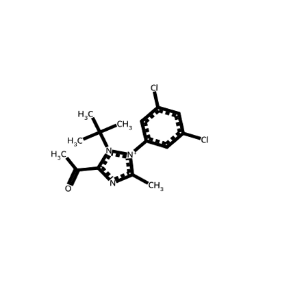 CC(=O)c1nc(C)[n+](-c2cc(Cl)cc(Cl)c2)n1C(C)(C)C